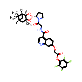 CC1(C)[C@@H]2C[C@H]1[C@H]1OB([C@@H]3CCCN3C(=O)CNC(=O)c3ccnc4cc(OCC(=O)Oc5c(F)c(F)cc(F)c5F)ccc34)O[C@@]1(C)C2